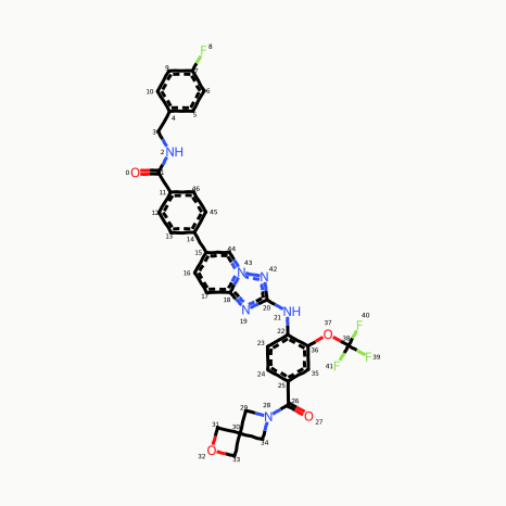 O=C(NCc1ccc(F)cc1)c1ccc(-c2ccc3nc(Nc4ccc(C(=O)N5CC6(COC6)C5)cc4OC(F)(F)F)nn3c2)cc1